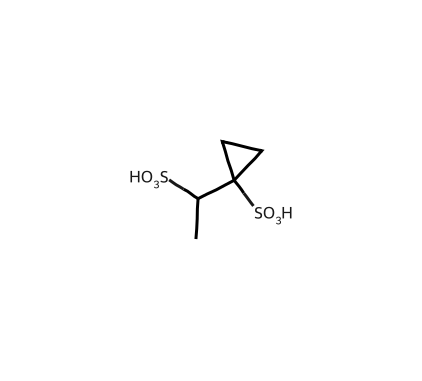 CC(C1(S(=O)(=O)O)CC1)S(=O)(=O)O